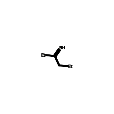 [CH2]CCC(=N)CC